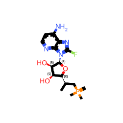 C=P(C)(C)CC(C)[C@H]1O[C@@H](n2c(F)nc3c(N)ccnc32)[C@H](O)[C@@H]1O